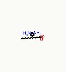 CCCCCCCCCCCCCCC([O])=O.Nc1cccc(N)c1